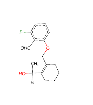 CCC(C)(O)C1=C(COc2cccc(F)c2C=O)CCCC1